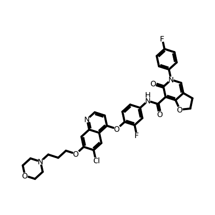 O=C(Nc1ccc(Oc2ccnc3cc(OCCCN4CCOCC4)c(Cl)cc23)c(F)c1)c1c2c(cn(-c3ccc(F)cc3)c1=O)CCO2